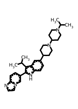 CC(C)c1c(-c2ccc3nccn3c2)[nH]c2ccc(C3CCN(C4CCN(C(C)C)CC4)CC3)cc12